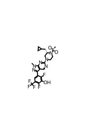 Cn1nc(-c2cc(C(F)(F)F)c(F)c(O)c2F)c2cnc(N3CCN(S(C)(=O)=O)[C@@H](CC4CC4)C3)nc21